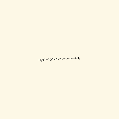 CCCCCCCCCCCCCOCCCN